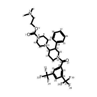 CN(C)CCOC(=O)N1CCN(C2CCN(C(=O)c3cc(C(F)(F)F)cc(C(F)(F)F)c3)CC2c2ccccc2)CC1